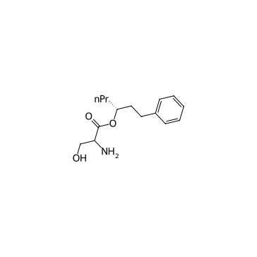 CCC[C@H](CCc1ccccc1)OC(=O)C(N)CO